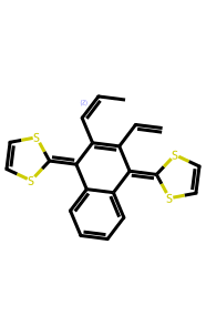 C=Cc1c(/C=C\C)c(=C2SC=CS2)c2ccccc2c1=C1SC=CS1